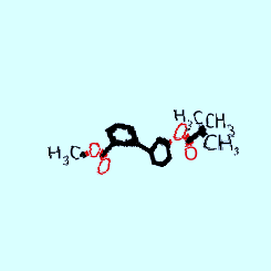 CCOC(=O)c1cccc(C2CCCC(OC(=O)C(C)(C)C)C2)c1